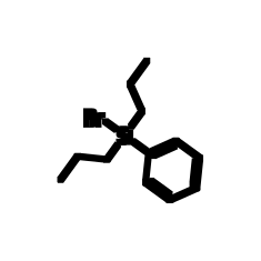 CCC[Si](Br)(CCC)c1ccccc1